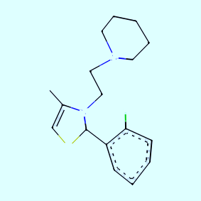 CC1=CSC(c2ccccc2Cl)N1CCN1CCCCC1